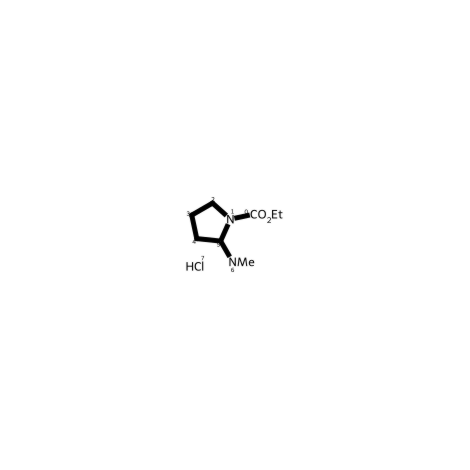 CCOC(=O)N1CCCC1NC.Cl